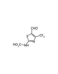 O=Cc1sc(NC(=O)O)nc1C(F)(F)F